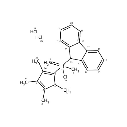 CC1=C(C)C(C)[C]([Hf]([CH3])(=[SiH2])([Cl])[CH]2c3ccccc3-c3ccccc32)=C1C.Cl.Cl